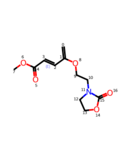 C=C(/C=C/C(=O)OC)OCCN1CCOC1=O